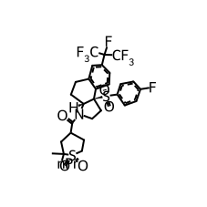 CCCC1(C)CC(C(=O)N2CC[C@@]3(S(=O)(=O)c4ccc(F)cc4)c4ccc(C(F)(C(F)(F)F)C(F)(F)F)cc4CC[C@@H]23)CCS1(=O)=O